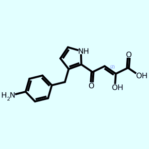 Nc1ccc(Cc2cc[nH]c2C(=O)/C=C(\O)C(=O)O)cc1